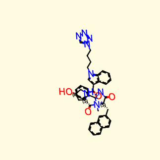 C[N+](Cc1ccccc1)(C(=O)[C@@H]1C[C@@H](O)CN1C(=O)c1cn(CCCCn2cnnn2)c2ccccc12)[C@@H](Cc1ccc2ccccc2c1)C(N)=O